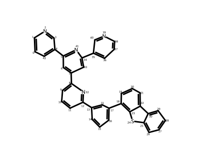 c1cncc(-c2cc(-c3cccc(-c4cccc(-c5cccc6c5sc5ccccc56)c4)n3)cc(-c3cccnc3)n2)c1